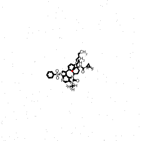 [2H]C([2H])([2H])n1c(=O)n(C2CCC(CC=C)(NC(=O)[C@H]3C[C@H]3F)CC2)c2c3c(-c4ccc(OCCC=C)cc4)cn(S(=O)(=O)c4ccccc4)c3ncc21